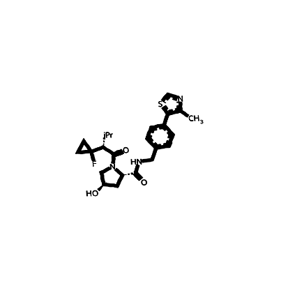 Cc1ncsc1-c1ccc(CNC(=O)[C@@H]2C[C@@H](O)CN2C(=O)[C@@H](C(C)C)C2(F)CC2)cc1